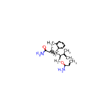 C=C(C)C(=C)C.C=CC(N)=O.C=CC(N)=O.Cc1ccccc1C